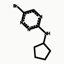 Brc1cnc(NC2CCCC2)nn1